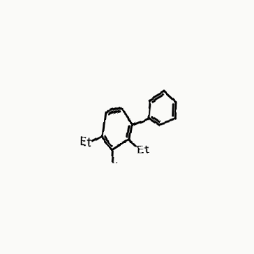 [CH2]c1c(CC)ccc(-c2ccccc2)c1CC